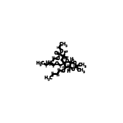 CCCCOC[C@@]1(CC(F)(F)P(=O)(OCC)OCC)O[C@@H]2OC(C)(C)O[C@H]2C1OCCCC